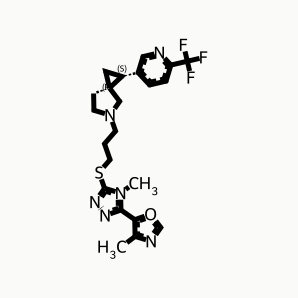 Cc1ncoc1-c1nnc(SCCCN2CC[C@@]3(C[C@@H]3c3ccc(C(F)(F)F)nc3)C2)n1C